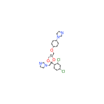 Clc1ccc([C@]2(Cn3ccnc3)OC[C@@H](COc3ccc(-n4ccnc4)cc3)O2)c(Cl)c1